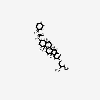 CC(CO)CC[C@@H]1CC2C(CC3[C@@H]4CC[C@@H]5CC(NC(=O)NC6CCCCC6)CCC5(C)C4CCC23C)O1